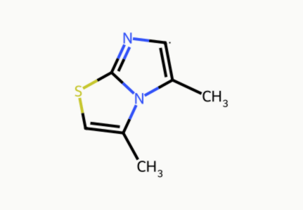 Cc1[c]nc2scc(C)n12